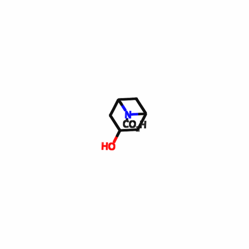 O=C(O)N1C2CC(O)CC1C2